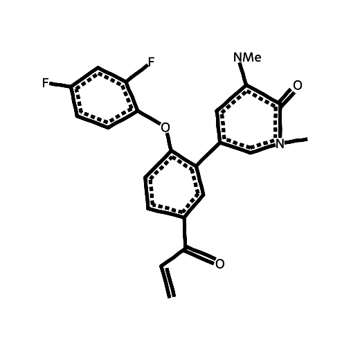 C=CC(=O)c1ccc(Oc2ccc(F)cc2F)c(-c2cc(NC)c(=O)n(C)c2)c1